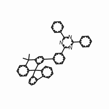 CC1(C)c2ccccc2C2(c3ccccc3-c3ccccc32)c2cc(-c3cccc(-c4nc(-c5ccccc5)nc(-c5ccccc5)n4)c3)ccc21